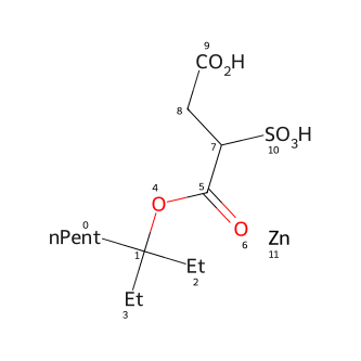 CCCCCC(CC)(CC)OC(=O)C(CC(=O)O)S(=O)(=O)O.[Zn]